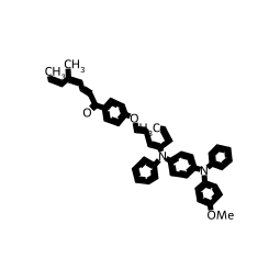 C\C=C/C(C)=C\C=C\C(=O)c1ccc(O/C=C/C=C(\C=C/C)N(c2ccccc2)c2ccc(N(c3ccccc3)c3ccc(OC)cc3)cc2)cc1